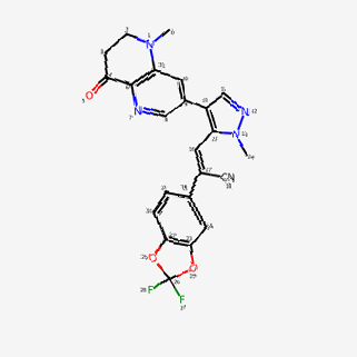 [CH2]N1CCC(=O)c2ncc(-c3cnn(C)c3C=C(C#N)c3ccc4c(c3)OC(F)(F)O4)cc21